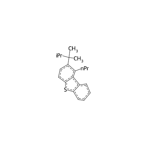 CCCc1c(C(C)(C)C(C)C)ccc2sc3ccccc3c12